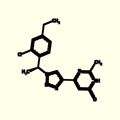 CCc1ccc([C@H](C)n2cc(-c3cc(=O)[nH]c(C)n3)nn2)c(Cl)c1